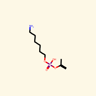 C=C(C)OP(=O)(O)OCCCCCCN